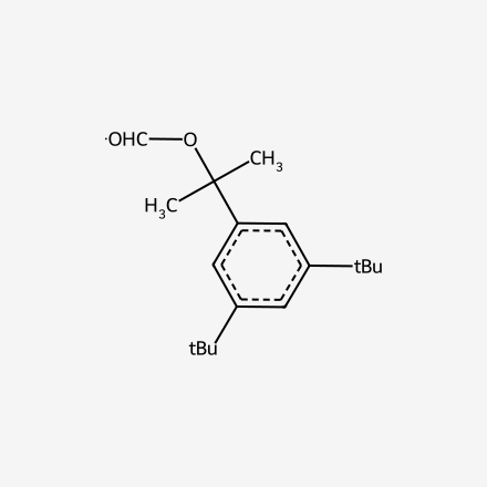 CC(C)(C)c1cc(C(C)(C)C)cc(C(C)(C)O[C]=O)c1